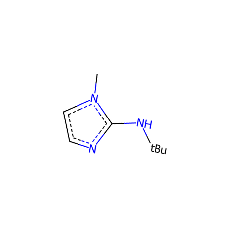 Cn1ccnc1NC(C)(C)C